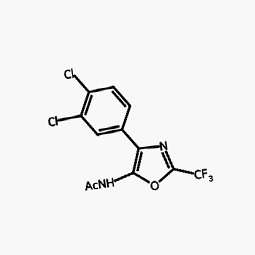 CC(=O)Nc1oc(C(F)(F)F)nc1-c1ccc(Cl)c(Cl)c1